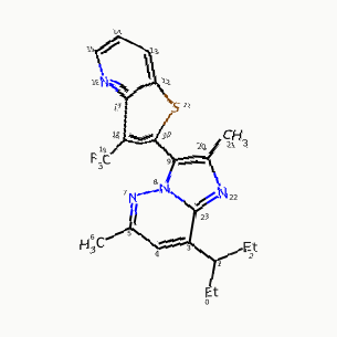 CCC(CC)c1cc(C)nn2c(-c3sc4cccnc4c3C(F)(F)F)c(C)nc12